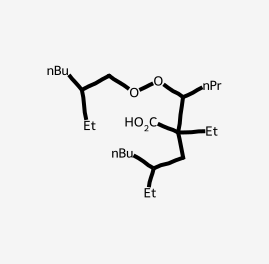 CCCCC(CC)COOC(CCC)C(CC)(CC(CC)CCCC)C(=O)O